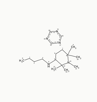 CCCCNC1CCC(C)(C)N(C)C1(C)C.c1ncncn1